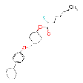 CCCCCC[C@@H](F)C(=O)O[C@H]1CC[C@H](COc2ccc(C3CC[CH]CC3)cc2)CC1